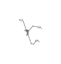 CCCCC/C=C\C/C=C\CCCCCCCCCCCC(=O)OC[C@@H](COC(=O)CCCCCCCCCCCCCC)OC(=O)CCCCCCC/C=C\CCCCCCC